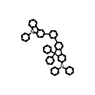 c1ccc(N(c2ccccc2)c2ccc3c(c2)C(c2ccccc2)(c2ccccc2)c2cc(-c4cccc(-c5ccc6c(c5)c5ccccc5n6-c5ccccc5)c4)ccc2-3)cc1